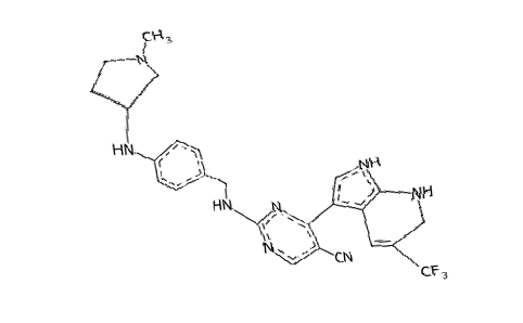 CN1CCC(Nc2ccc(CNc3ncc(C#N)c(-c4c[nH]c5c4C=C(C(F)(F)F)CN5)n3)cc2)C1